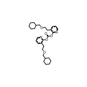 O=C(Oc1ncccc1CCOCC1CCCCC1)Oc1ncccc1CCOCC1CCCCC1